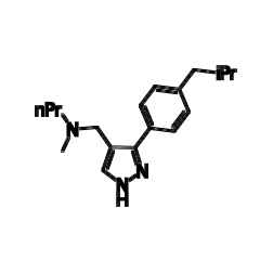 CCCN(C)Cc1c[nH]nc1-c1ccc(CC(C)C)cc1